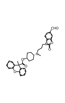 CN(CCCn1c(=O)oc2cc(C=O)ccc21)[C@H]1CC[C@H](OC(=O)C2(C)c3ccccc3Oc3ccccc32)CC1